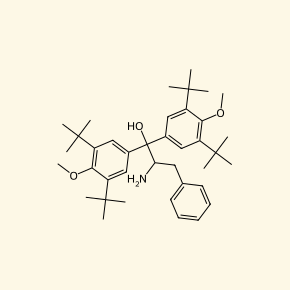 COc1c(C(C)(C)C)cc(C(O)(c2cc(C(C)(C)C)c(OC)c(C(C)(C)C)c2)C(N)Cc2ccccc2)cc1C(C)(C)C